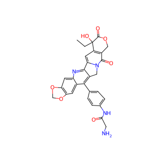 CCC1(O)C(=O)OCc2c1cc1n(c2=O)Cc2c-1nc1cc3c(cc1c2-c1ccc(NC(=O)CN)cc1)OCO3